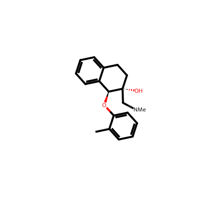 CNC[C@]1(O)CCc2ccccc2[C@@H]1Oc1ccccc1C